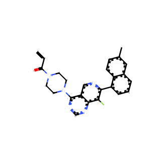 C=CC(=O)N1CCN(c2ncnc3c(F)c(-c4cccc5cc(C)ccc45)ncc23)CC1